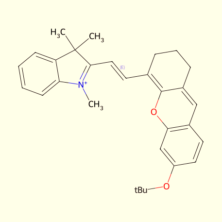 C[N+]1=C(/C=C/C2=C3Oc4cc(OC(C)(C)C)ccc4C=C3CCC2)C(C)(C)c2ccccc21